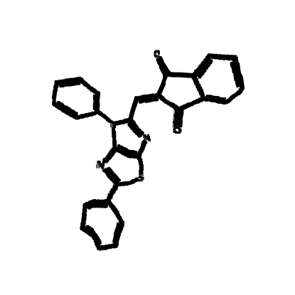 O=C1C(=Cc2nc3sc(-c4ccccc4)nc3n2-c2ccccc2)C(=O)c2ccccc21